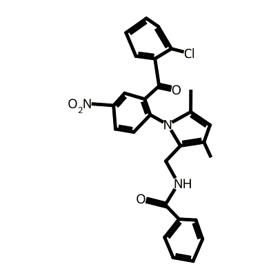 Cc1cc(C)n(-c2ccc([N+](=O)[O-])cc2C(=O)c2ccccc2Cl)c1CNC(=O)c1ccccc1